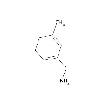 CC1=CC(CN)=CC[CH]1